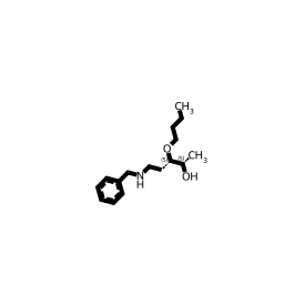 CCCCO[C@@H](CCNCc1ccccc1)[C@H](C)O